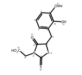 COc1cccc(CC2SC(=S)N(CC(=O)O)C2=O)c1O